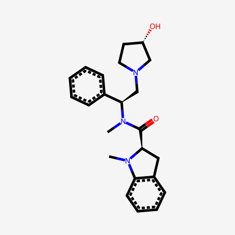 CN(C(=O)[C@H]1Cc2ccccc2N1C)[C@H](CN1CC[C@H](O)C1)c1ccccc1